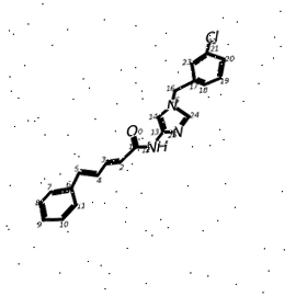 O=C(/C=C/C=C/c1ccccc1)Nc1cn(Cc2cccc(Cl)c2)cn1